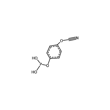 N#COc1ccc(OP(O)O)cc1